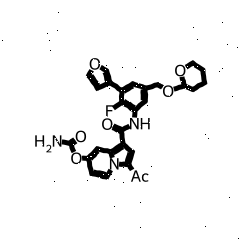 CC(=O)c1cc(C(=O)Nc2cc(COC3CCCCO3)cc(-c3ccoc3)c2F)c2cc(OC(N)=O)ccn12